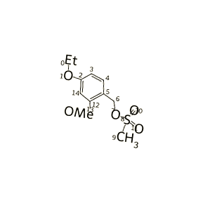 CCOc1ccc(COS(C)(=O)=O)c(OC)c1